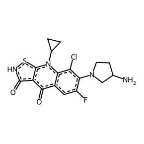 NC1CCN(c2c(F)cc3c(=O)c4c(=O)[nH]sc4n(C4CC4)c3c2Cl)C1